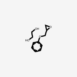 OCCO.c1ccc(OCC2CO2)cc1